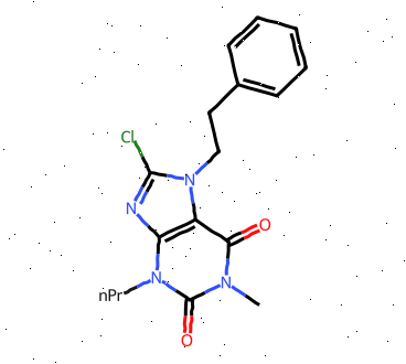 CCCn1c(=O)n(C)c(=O)c2c1nc(Cl)n2CCc1ccccc1